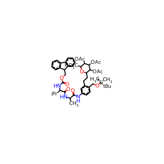 CC(=O)OC1C(CCc2cc(NC(=O)C(C)NC(=O)C(NC(=O)OCC3c4ccccc4-c4ccccc43)C(C)C)ccc2CO[Si](C)(C)C(C)(C)C)OC(C(=O)O)C(OC(C)=O)C1OC(C)=O